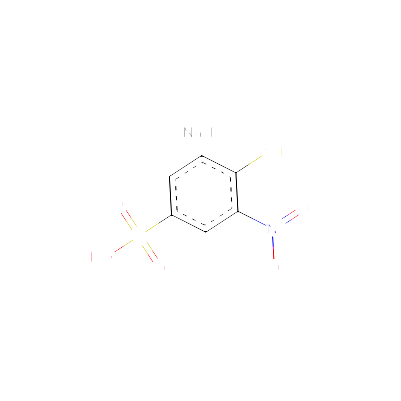 O=[N+]([O-])c1cc(S(=O)(=O)O)ccc1S.[NaH]